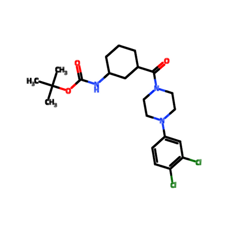 CC(C)(C)OC(=O)NC1CCCC(C(=O)N2CCN(c3ccc(Cl)c(Cl)c3)CC2)C1